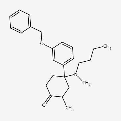 CCCCN(C)C1(c2cccc(OCc3ccccc3)c2)CCC(=O)C(C)C1